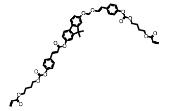 C=CC(=O)OCCCCOC(=O)Oc1ccc(C=COCOc2ccc3c(c2)C(C)(C)c2cc(OC(=O)C=Cc4ccc(OC(=O)OCCCCOC(=O)C=C)cc4)ccc2-3)cc1